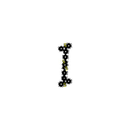 c1ccc(-c2cc(-c3ccc(-c4cc5cc6sc(-c7ccc(-c8ccc(-c9csc%10ccccc9%10)c(-c9ccccc9)c8)cc7)cc6cc5s4)cc3)ccc2-c2csc3ccccc23)cc1